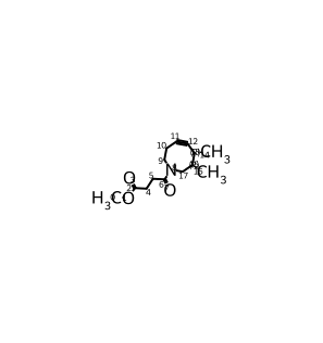 COC(=O)CCC(=O)N1CCC#C[C@H](C)[C@@H](C)C1